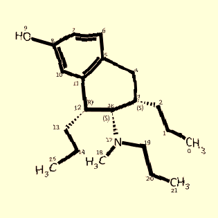 CCC[C@H]1Cc2ccc(O)cc2[C@@H](CCC)[C@H]1N(C)CCC